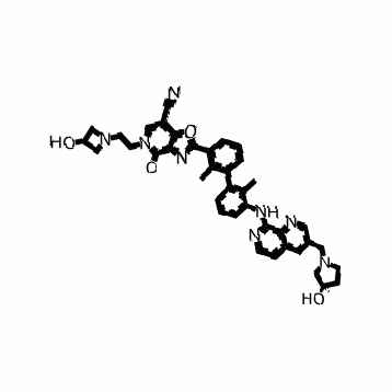 Cc1c(Nc2nccc3cc(CN4CC[C@@H](O)C4)cnc23)cccc1-c1cccc(-c2nc3c(=O)n(CCN4CC(O)C4)cc(C#N)c3o2)c1C